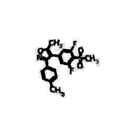 Cc1ccc(-c2noc(C)c2-c2cc(F)c(S(C)(=O)=O)c(F)c2)cc1